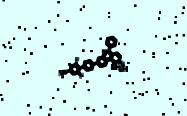 N#Cc1cc(F)c(-c2ccc(-c3ccc4c5c(c(-c6ccccc6)nc4c3)C=C/C(=N/O)C5=N)cc2)c(F)c1